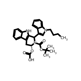 CCCCn1cc(C2c3[nH]c4ccccc4c3C[C@@H](OC(=O)O)N2C(=O)OC(C)(C)C)c2ccccc21